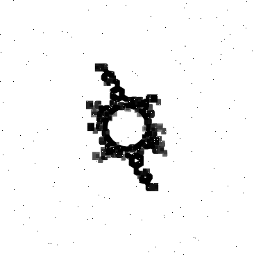 CC(C)C[C@H]1C(=O)O[C@H](Cc2cccc(Cn3cc(O)cn3)c2)C(=O)N(C)[C@@H](CC(C)C)C(=O)O[C@H](C)C(=O)N(C)[C@@H](CC(C)C)C(=O)O[C@H](Cc2cccc(Cn3cc(O)cn3)c2)C(=O)N(C)[C@@H](CC(C)C)C(=O)O[C@H](C)C(=O)N1C